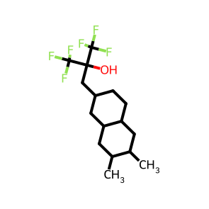 CC1CC2CCC(CC(O)(C(F)(F)F)C(F)(F)F)CC2CC1C